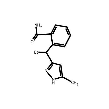 CCC(c1cc(C)[nH]n1)c1ccccc1C(N)=O